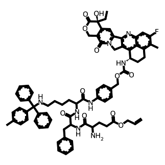 C=CCOC(=O)CCC(N)C(=O)NC(Cc1ccccc1)C(=O)NC(CCCCNC(c1ccccc1)(c1ccccc1)c1ccc(C)cc1)C(=O)Nc1ccc(COC(=O)N[C@H]2CCc3c(C)c(F)cc4nc5c(c2c34)Cn2c-5cc3c(c2=O)COC(=O)[C@]3(O)CC)cc1